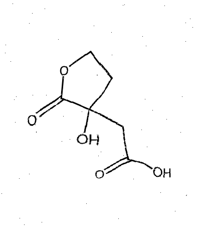 O=C(O)CC1(O)CCOC1=O